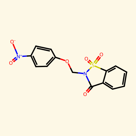 O=C1c2ccccc2S(=O)(=O)N1COc1ccc([N+](=O)[O-])cc1